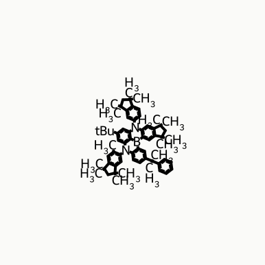 Cc1cc2c(cc1N1c3ccc(C(C)(C)c4ccccc4)cc3B3c4cc5c(cc4N(c4ccc6c(c4)C(C)(C)CC6(C)C)c4cc(C(C)(C)C)cc1c43)C(C)(C)CC5(C)C)C(C)(C)CC2(C)C